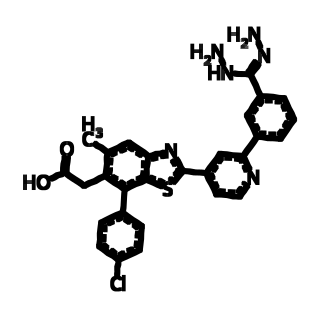 Cc1cc2nc(-c3ccnc(-c4cccc(/C(=N/N)NN)c4)c3)sc2c(-c2ccc(Cl)cc2)c1CC(=O)O